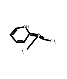 C/C=P(\C)=c1\cccc[nH]1